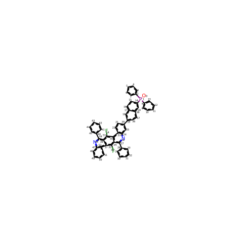 O=P(c1ccccc1)(c1ccccc1)c1ccc2cc(-c3ccc4c(c3)nc(-c3ccccc3)c3c(F)c5c(c(-c6ccccc6)nc6ccccc65)c(F)c34)ccc2c1